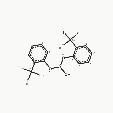 OB(Oc1ccccc1C(F)(F)F)Oc1ccccc1C(F)(F)F